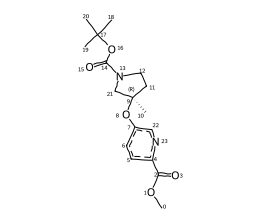 COC(=O)c1ccc(O[C@]2(C)CCN(C(=O)OC(C)(C)C)C2)cn1